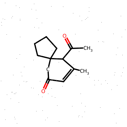 CC(=O)C1C(C)=CC(=O)CC12CCCC2